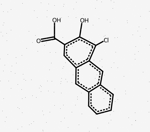 O=C(O)c1cc2cc3ccccc3cc2c(Cl)c1O